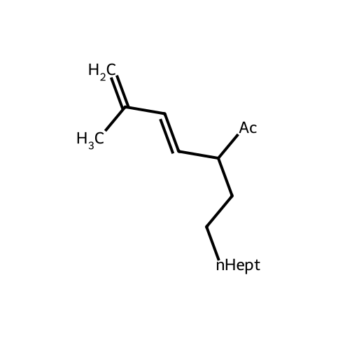 C=C(C)C=CC(CCCCCCCCC)C(C)=O